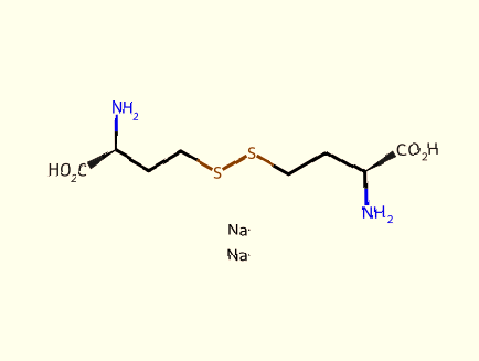 N[C@@H](CCSSCC[C@H](N)C(=O)O)C(=O)O.[Na].[Na]